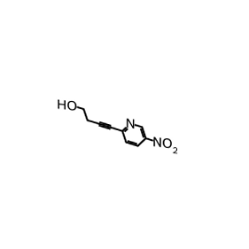 O=[N+]([O-])c1ccc(C#CCCO)nc1